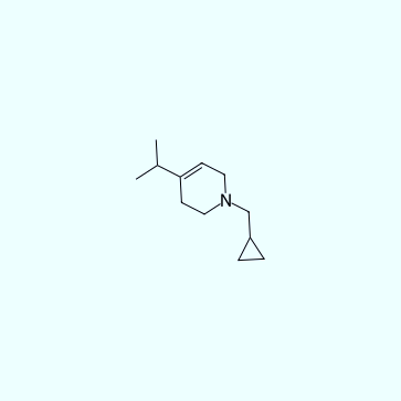 CC(C)C1=CCN(CC2CC2)CC1